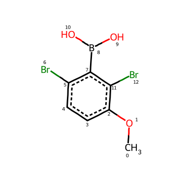 COc1ccc(Br)c(B(O)O)c1Br